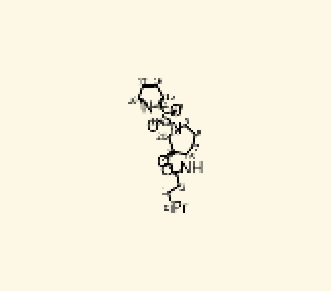 CC(C)C[CH]C(=O)N[C@H]1CCCN(S(=O)(=O)c2ccccn2)CC1=O